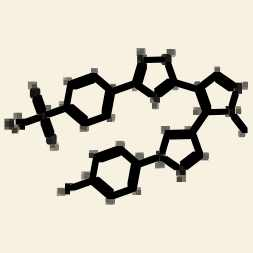 Cn1ncc(-c2nc(-c3ccc(S(N)(=O)=O)cc3)no2)c1-c1cnn(-c2ccc(F)cc2)c1